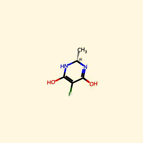 C[C@@H]1N=C(O)C(F)=C(O)N1